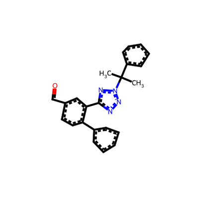 CC(C)(c1ccccc1)n1nnc(-c2cc(C=O)ccc2-c2ccccc2)n1